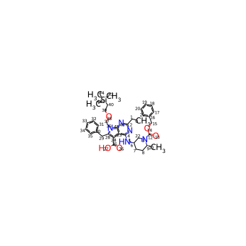 CCc1nc(N[C@@H]2CC[C@H](C)N(C(=O)OCc3ccccc3)C2)c2c(C(=O)O)c(Cc3ccccc3)n(COCC[Si](C)(C)C)c2n1